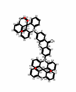 O=c1c2ccc(N3c4ccccc4C4(c5ccccc5Sc5ccccc54)c4ccccc43)cc2sc2cc(N3c4ccccc4C4(c5ccccc5Sc5ccccc54)c4ccccc43)ccc12